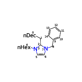 CCCCCCCCCCCC1N(CCCCCC)C=CN1Cc1ccccc1